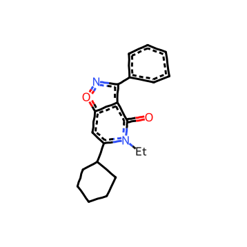 CCn1c(C2CCCCC2)cc2onc(-c3ccccc3)c2c1=O